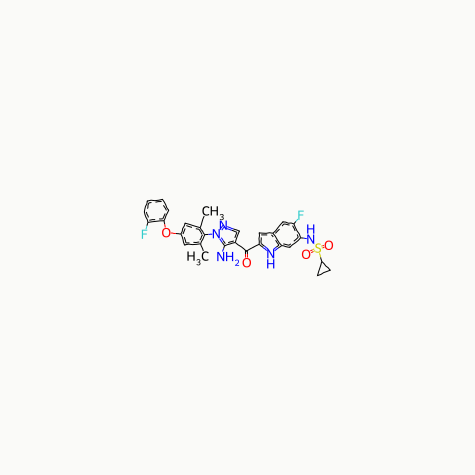 Cc1cc(Oc2ccccc2F)cc(C)c1-n1ncc(C(=O)c2cc3cc(F)c(NS(=O)(=O)C4CC4)cc3[nH]2)c1N